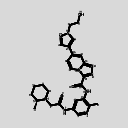 Cc1ncc(NC(=O)CN2CCCC[C@@H]2C)cc1NC(=O)c1nnc2cc(-c3cnn(CCO)c3)ccn12